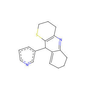 C1=C2C(=NC3=C(SCCC3)C2c2cccnc2)CCC1